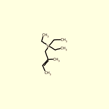 C/C=C(\C)C[Si](CC)(CC)CC